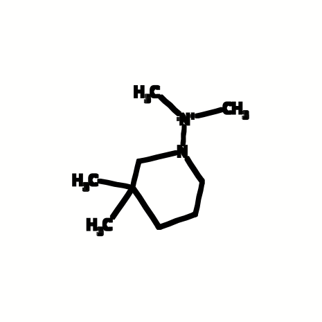 C[N+](C)N1CCCC(C)(C)C1